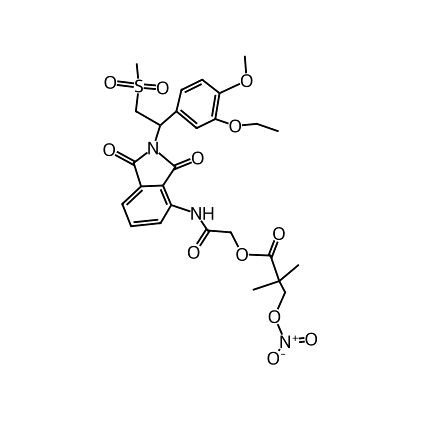 CCOc1cc(C(CS(C)(=O)=O)N2C(=O)c3cccc(NC(=O)COC(=O)C(C)(C)CO[N+](=O)[O-])c3C2=O)ccc1OC